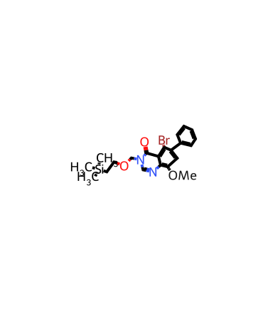 COc1cc(-c2ccccc2)c(Br)c2c(=O)n(COCC[Si](C)(C)C)cnc12